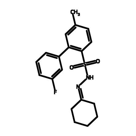 Cc1ccc(S(=O)(=O)NN=C2CCCCC2)c(-c2cccc(F)c2)c1